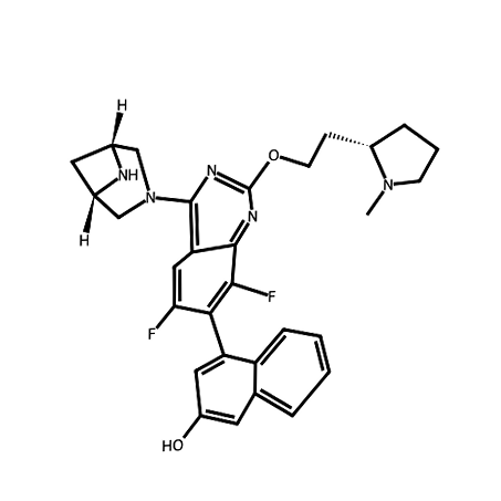 CN1CCC[C@H]1CCOc1nc(N2C[C@H]3C[C@@H](C2)N3)c2cc(F)c(-c3cc(O)cc4ccccc34)c(F)c2n1